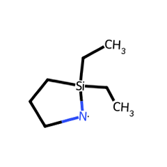 CC[Si]1(CC)CCC[N]1